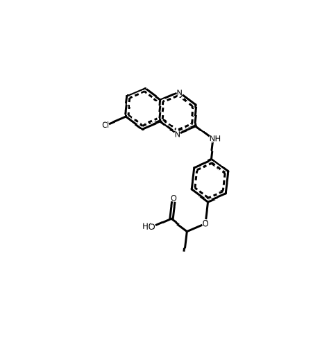 CC(Oc1ccc(Nc2cnc3ccc(Cl)cc3n2)cc1)C(=O)O